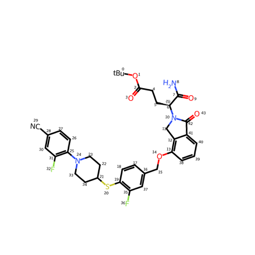 CC(C)(C)OC(=O)CC[C@@H](C(N)=O)N1Cc2c(OCc3ccc(SC4CCN(c5ccc(C#N)cc5F)CC4)c(F)c3)cccc2C1=O